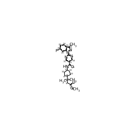 COC(=O)CC(C)(C)C1CCC(NC(=O)c2cnc(-n3nc(C)c4ccc(F)cc43)nc2)CC1